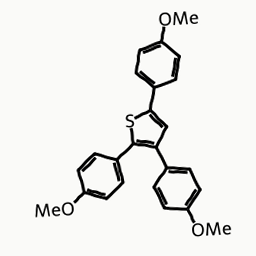 COc1ccc(-c2cc(-c3ccc(OC)cc3)c(-c3ccc(OC)cc3)s2)cc1